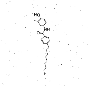 CCCCCCCCCc1ccc(C(=O)Nc2ccc(O)c(C)c2)cc1